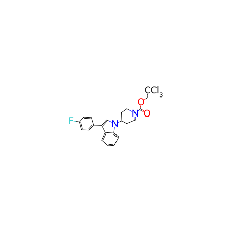 O=C(OCC(Cl)(Cl)Cl)N1CCC(n2cc(-c3ccc(F)cc3)c3ccccc32)CC1